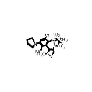 Cn1ncc(B2OC(C)(C)C(C)(C)O2)c1-c1c(F)c(Cl)cc(N2CCCC2)c1C#N